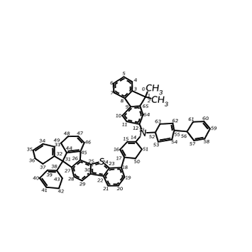 CC1(C)c2ccccc2-c2ccc(N(C3=CC=C(c4cccc5c4sc4c6c(ccc45)C(C4=CC=CCC4)(C4=CC=CCC4)C4=C6C=CCC4)CC3)C3C=CC(C4C=CC=CC4)=CC3)cc21